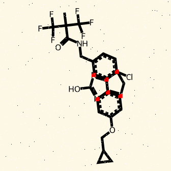 CC(C(=O)NCc1ccc(Cl)c(C2=C\CC/C(c3ccc(OCC4CC4)cc3)=N/C(O)=N\2)c1)(C(F)(F)F)C(F)(F)F